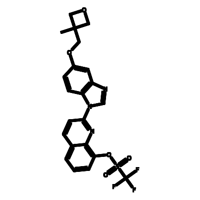 CC1(COc2ccc3c(c2)ncn3-c2ccc3cccc(OS(=O)(=O)C(F)(F)F)c3n2)COC1